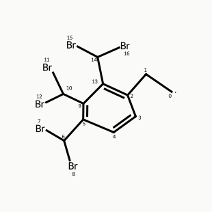 [CH2]Cc1ccc(C(Br)Br)c(C(Br)Br)c1C(Br)Br